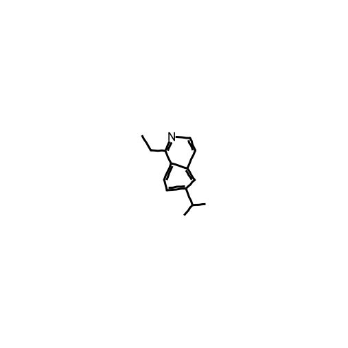 CCc1nccc2cc(C(C)C)ccc12